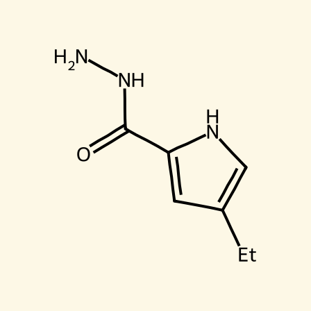 CCc1c[nH]c(C(=O)NN)c1